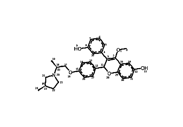 COC1=C(c2cccc(O)c2)C(c2ccc(OC[C@H](C)N3CC[C@@H](C)C3)cc2)Oc2ccc(O)cc21